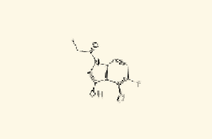 CCC(=O)n1cc(O)c2c(Cl)c(F)ccc21